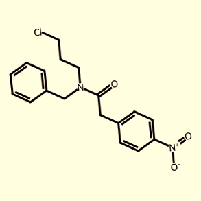 O=C(Cc1ccc([N+](=O)[O-])cc1)N(CCCCl)Cc1ccccc1